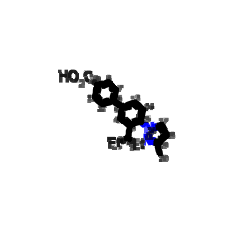 CCC(CC)c1cc(-c2ccc(C(=O)O)cc2)ccc1-n1ccc(C)n1